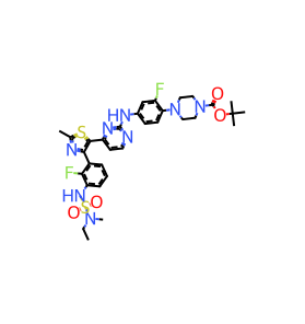 CCN(C)S(=O)(=O)Nc1cccc(-c2nc(C)sc2-c2ccnc(Nc3ccc(N4CCN(C(=O)OC(C)(C)C)CC4)c(F)c3)n2)c1F